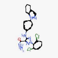 NC(=O)c1nn(-c2c(Cl)cccc2Cl)nc1Nc1ccc(-n2ncc3c2CCCC3)cc1